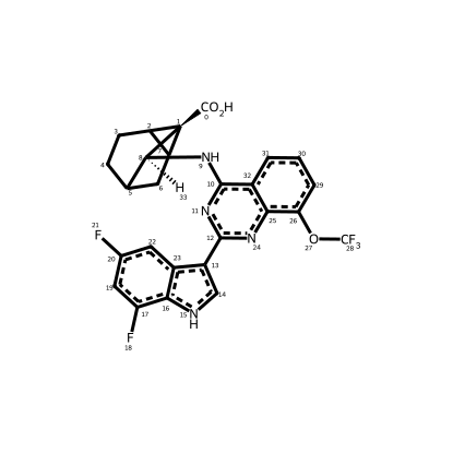 O=C(O)[C@@]12C3CCC(CC31)[C@@H]2Nc1nc(-c2c[nH]c3c(F)cc(F)cc23)nc2c(OC(F)(F)F)cccc12